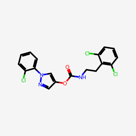 O=C(NCCc1c(Cl)cccc1Cl)Oc1cnn(-c2ccccc2Cl)c1